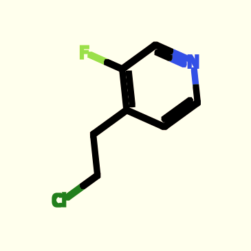 Fc1cnccc1CCCl